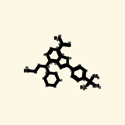 CC(C)(C)c1ccc(-c2cc3c(N(CCO)C4CCCCC4)ncc(C(N)=O)c3s2)cc1